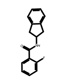 O=C(NC1Cc2ccccc2C1)c1ccccc1F